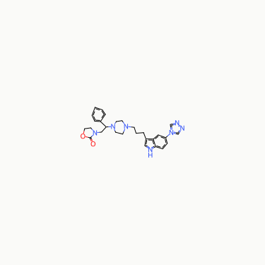 O=C1OCCN1CC(c1ccccc1)N1CCN(CCCc2c[nH]c3ccc(-n4cnnc4)cc23)CC1